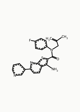 C=C(C)CN(C(=O)c1sc2nc(-c3cccnc3)ccc2c1N)c1ccc(F)cc1